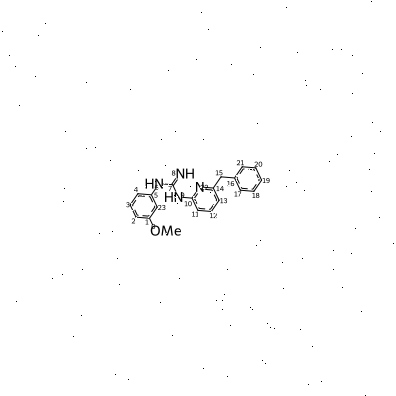 COc1cccc(NC(=N)Nc2cccc(Cc3ccccc3)n2)c1